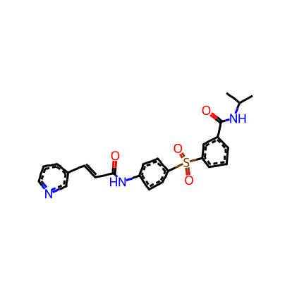 CC(C)NC(=O)c1cccc(S(=O)(=O)c2ccc(NC(=O)C=Cc3cccnc3)cc2)c1